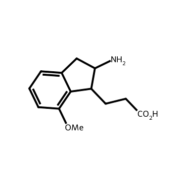 COc1cccc2c1C(CCC(=O)O)C(N)C2